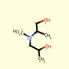 CC(O)CN(C(=O)O)C(C)CO